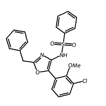 COc1c(Cl)cccc1-c1oc(Cc2ccccc2)nc1NS(=O)(=O)c1ccccc1